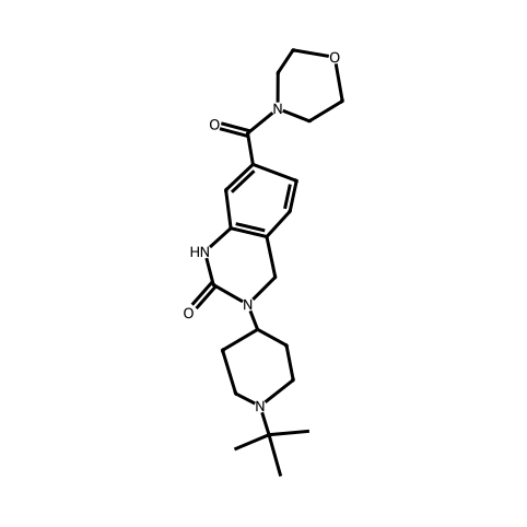 CC(C)(C)N1CCC(N2Cc3ccc(C(=O)N4CCOCC4)cc3NC2=O)CC1